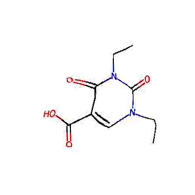 CCn1cc(C(=O)O)c(=O)n(CC)c1=O